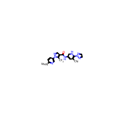 CNc1ccc(-n2ncc(C(=O)NC3=CC(C#N)=C(n4nccn4)NC3)c2C(F)(F)F)cn1